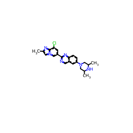 Cc1cn2cc(-c3ncc4cc(N5CC(C)NC(C)C5)ccc4n3)cc(Cl)c2n1